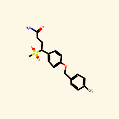 CS(=O)(=O)C(CCC(N)=O)c1ccc(OCc2ccc(C(F)(F)F)cc2)cc1